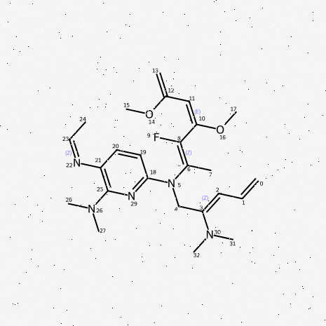 C=C/C=C(/CN(/C(C)=C(F)/C(=C\C(=C)OC)OC)c1ccc(/N=C\C)c(N(C)C)n1)N(C)C